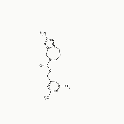 Nc1cc2n(n1)CCCN(C(=O)OCc1cc(C(F)(F)F)cc(C(F)(F)F)c1)C2